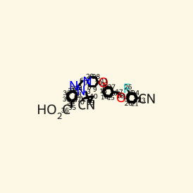 N#CCC1(Cn2c(CN3CCC(Oc4cccc(COc5ccc(C#N)cc5F)c4)CC3)nc3ccc(CC(=O)O)cc32)CC1